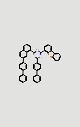 c1ccc(-c2ccc(-c3ccc4cccc(-c5nc(-c6ccc(-c7ccccc7)cc6)nc(-c6cccc7c6sc6ccccc67)n5)c4c3)cc2)cc1